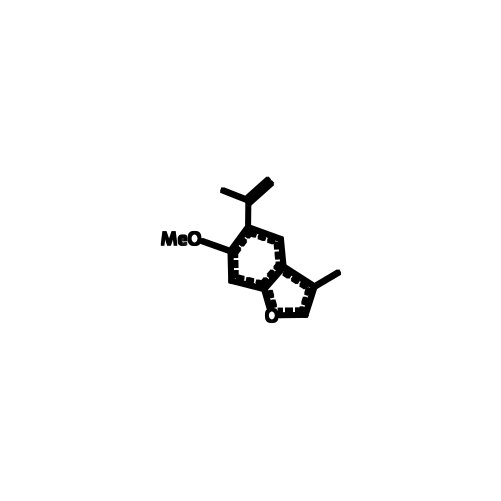 C=C(C)c1cc2c(C)coc2cc1OC